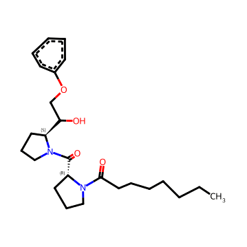 CCCCCCCC(=O)N1CCC[C@@H]1C(=O)N1CCC[C@H]1C(O)COc1ccccc1